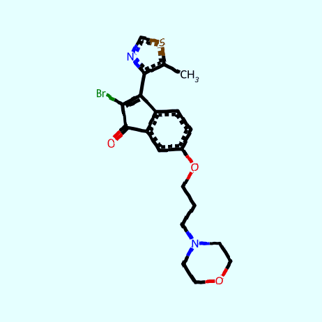 Cc1scnc1C1=C(Br)C(=O)c2cc(OCCCN3CCOCC3)ccc21